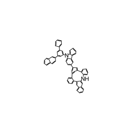 c1ccc(-c2cc(-c3ccc4ccccc4c3)cc(-n3c4ccccc4c4cc(-c5cc6cc(c5)-c5ccccc5-c5cc7ccccc7cc5Nc5ccccc5-6)ccc43)c2)cc1